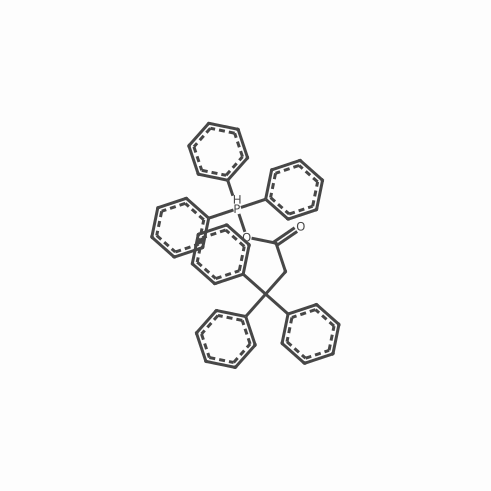 O=C(CC(c1ccccc1)(c1ccccc1)c1ccccc1)O[PH](c1ccccc1)(c1ccccc1)c1ccccc1